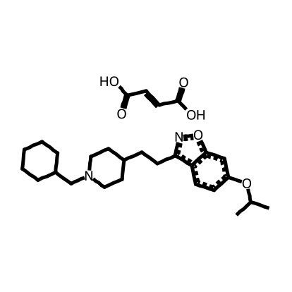 CC(C)Oc1ccc2c(CCC3CCN(CC4CCCCC4)CC3)noc2c1.O=C(O)/C=C/C(=O)O